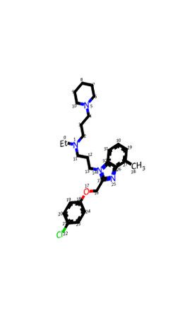 CCN(CCCN1CCCCC1)CCCn1c(COc2ccc(Cl)cc2)nc2c(C)cccc21